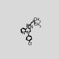 CN(C)Cc1nc2n(n1)-c1cccnc1N(c1ccc(Cl)cc1)C2